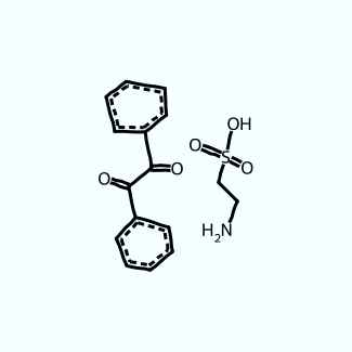 NCCS(=O)(=O)O.O=C(C(=O)c1ccccc1)c1ccccc1